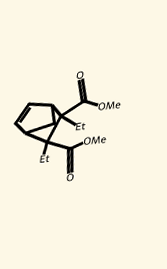 CCC1(C(=O)OC)C2C=CC(C2)C1(CC)C(=O)OC